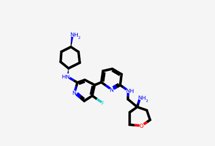 NC1(CNc2cccc(-c3cc(N[C@H]4CC[C@H](N)CC4)ncc3F)n2)CCOCC1